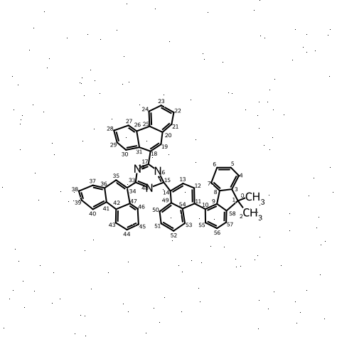 CC1(C)c2ccccc2-c2c(-c3ccc(-c4nc(-c5cc6ccccc6c6ccccc56)nc(-c5cc6ccccc6c6ccccc56)n4)c4ccccc34)cccc21